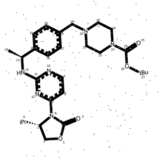 CC(C)[C@H]1COC(=O)N1c1ccnc(N[C@@H](C)c2ccc(CN3CCN(C(=O)OC(C)(C)C)CC3)cc2)n1